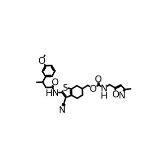 COc1cccc(C(C)CC(=O)Nc2sc3c(c2C#N)CCC(COC(=O)NCc2cc(C)no2)C3)c1